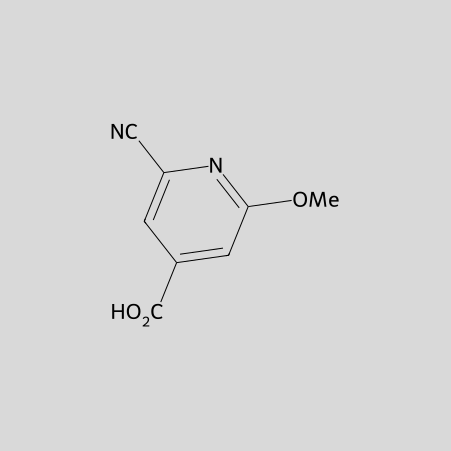 COc1cc(C(=O)O)cc(C#N)n1